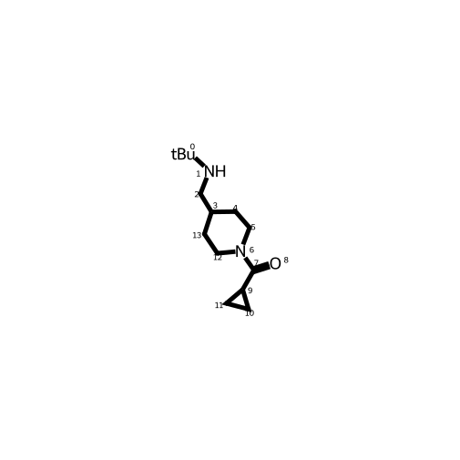 CC(C)(C)NCC1CCN(C(=O)C2CC2)CC1